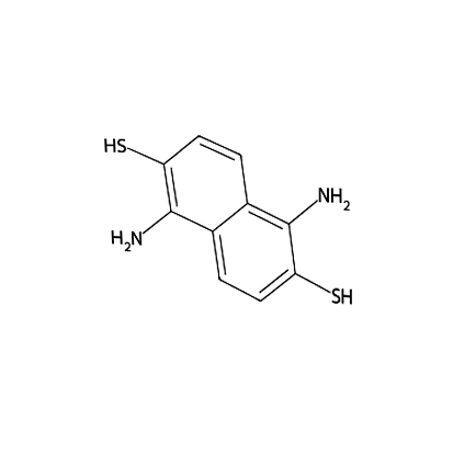 Nc1c(S)ccc2c(N)c(S)ccc12